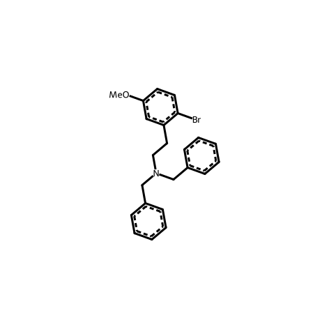 COc1ccc(Br)c(CCN(Cc2ccccc2)Cc2ccccc2)c1